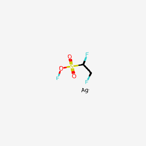 O=S(=O)(OF)C(F)CF.[Ag]